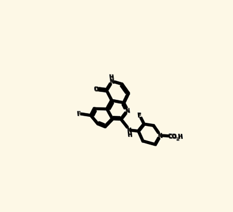 O=C(O)N1CCC(Nc2nc3cc[nH]c(=O)c3c3cc(F)ccc23)C(F)C1